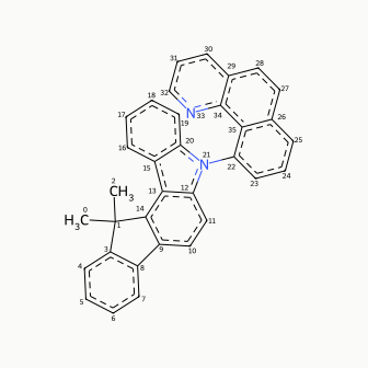 CC1(C)c2ccccc2-c2ccc3c(c21)c1ccccc1n3-c1cccc2ccc3cccnc3c12